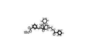 CC(C)(C)OC(=O)c1cccc(CN2CN(C3CCCCC3)C3(CCN(CCCC(=O)c4ccccc4)CC3)C2=O)c1